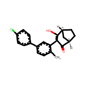 Cc1ccc(-c2ccc(Cl)cc2)cc1C1=C(O)[C@@H]2CC[C@H](C2)C1=O